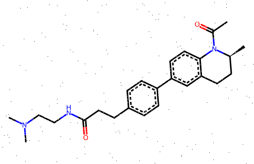 CC(=O)N1c2ccc(-c3ccc(CCC(=O)NCCN(C)C)cc3)cc2CC[C@@H]1C